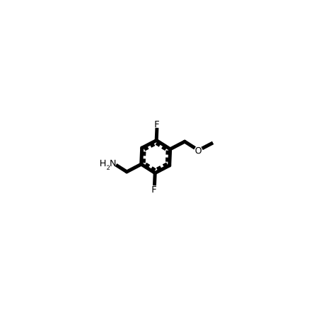 COCc1cc(F)c(CN)cc1F